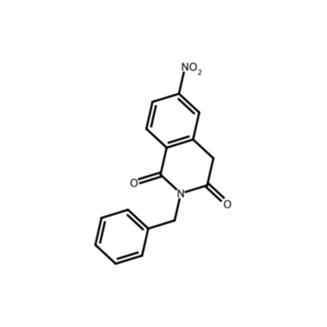 O=C1Cc2cc([N+](=O)[O-])ccc2C(=O)N1Cc1ccccc1